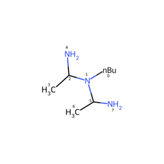 CCCCN(C(C)N)C(C)N